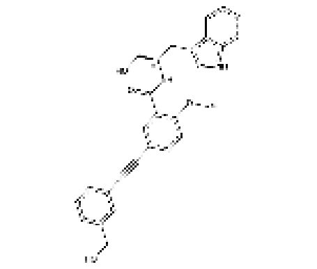 CC(C)Oc1ccc(C#Cc2cccc(CO)c2)cc1C(=O)N[C@@H](CO)Cc1c[nH]c2ccccc12